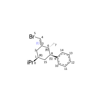 CC(C)[C@H]1C/C(=C\Br)[C@H](C)[C@@H](c2ccccc2)C1